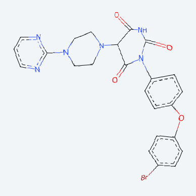 O=C1NC(=O)N(c2ccc(Oc3ccc(Br)cc3)cc2)C(=O)C1N1CCN(c2ncccn2)CC1